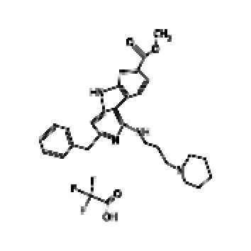 COC(=O)c1ccc2c(c1)[nH]c1cc(Cc3ccccc3)nc(NCCCN3CCCCC3)c12.O=C(O)C(F)(F)F